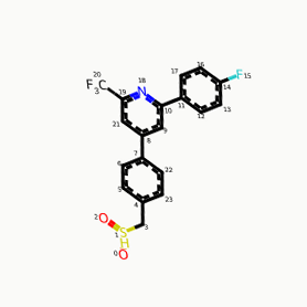 O=[SH](=O)Cc1ccc(-c2cc(-c3ccc(F)cc3)nc(C(F)(F)F)c2)cc1